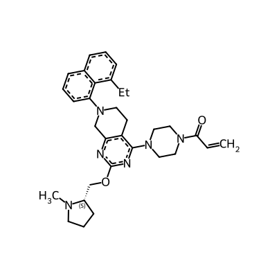 C=CC(=O)N1CCN(c2nc(OC[C@@H]3CCCN3C)nc3c2CCN(c2cccc4cccc(CC)c24)C3)CC1